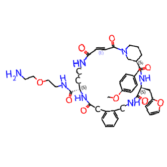 COc1ccc(C[C@@]23CCCN(C2)C(=O)/C=C/C(=O)NCC[C@@H](C(=O)NCCOCCN)NC(=O)Cc2ccccc2CNC(=O)[C@H](Cc2ccco2)NC3=O)cc1